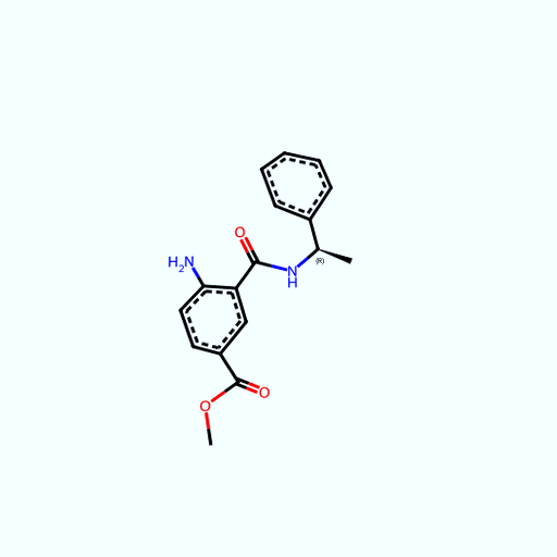 COC(=O)c1ccc(N)c(C(=O)N[C@H](C)c2ccccc2)c1